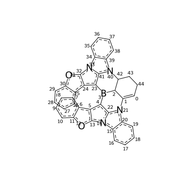 C1=C2C3B(c4c5c6ccccc6oc5n5c6ccccc6n2c45)c2c4c5ccccc5oc4n4c5ccccc5n(c24)C3CC1